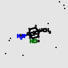 CC12CCC(N)(CC1)CC2.Cl